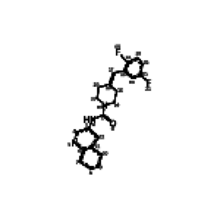 O=C(Nc1cnc2ccccc2c1)N1CCC(=Cc2cc(F)ccc2F)CC1